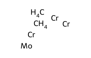 C.C.[Cr].[Cr].[Cr].[Mo]